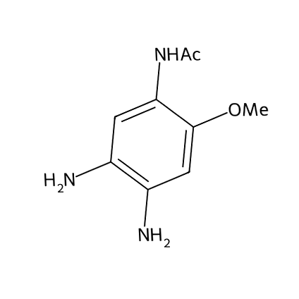 COc1cc(N)c(N)cc1NC(C)=O